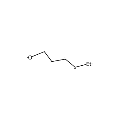 C[CH][C][C][C][C][O]